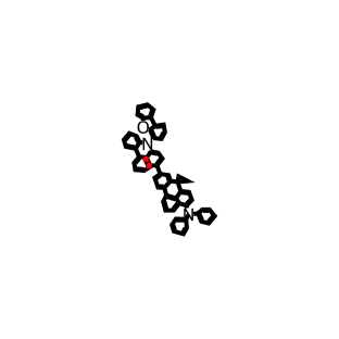 c1ccc(-c2ccccc2N(c2ccc(-c3ccc4c(c3)C3(CC3)c3ccc(N(c5ccccc5)c5ccccc5)c5cccc-4c35)cc2)c2cccc3c2oc2ccccc23)cc1